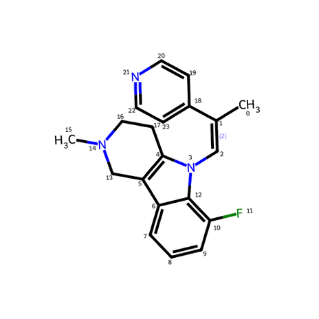 C/C(=C/n1c2c(c3cccc(F)c31)CN(C)CC2)c1ccncc1